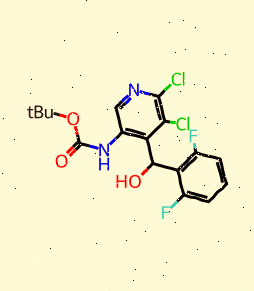 CC(C)(C)OC(=O)Nc1cnc(Cl)c(Cl)c1C(O)c1c(F)cccc1F